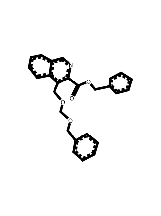 O=C(OCc1ccccc1)c1ncc2ccccc2c1COCOCc1ccccc1